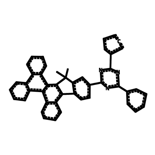 CC1(C)c2cc(-c3nc(-c4ccccc4)nc(-c4ccccc4)n3)ccc2-c2c1c1c3ccccc3c3ccccc3c1c1ccccc21